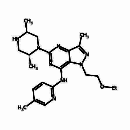 CCOCCn1nc(C)c2nc(N3C[C@H](C)NC[C@H]3C)nc(Nc3ccc(C)cn3)c21